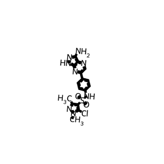 Cc1nn(C)c(Cl)c1S(=O)(=O)Nc1ccc(-c2cnc3c(N)n[nH]c3n2)cc1